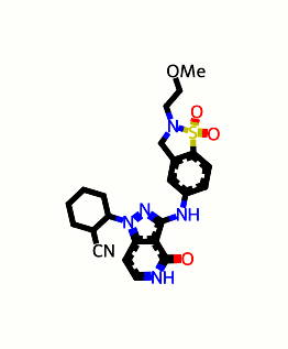 COCCN1Cc2cc(Nc3nn(C4CCCCC4C#N)c4cc[nH]c(=O)c34)ccc2S1(=O)=O